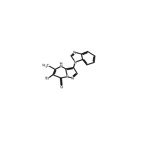 CCc1c(C)[nH]c2c(-n3cnc4ccccc43)cnn2c1=O